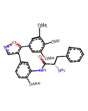 COc1ccc(-c2cnoc2-c2cc(OC)c(OC)c(OC)c2)cc1NC(=O)[C@@H](N)Cc1ccccc1